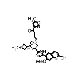 COc1cc2nc(C)ccc2cc1-c1cnc([C@H](COCCCC(=O)c2cc(C)on2)NC(=O)C2CN(C)C2)[nH]1